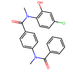 CN(C(=O)c1ccccc1)c1ccc(C(=O)N(C)c2ccc(Cl)cc2O)cc1